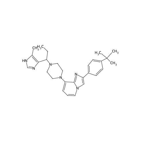 CCC(c1nc[nH]c1C)N1CCN(c2cccn3cc(-c4ccc(C(C)(C)C)cc4)nc23)CC1